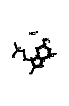 Cc1oc2ccc(N)cc2c1CCN(C)C.Cl.Cl